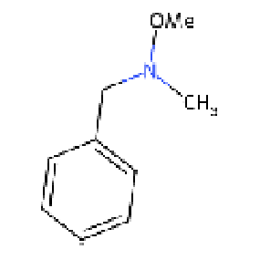 CON(C)Cc1cc[c]cc1